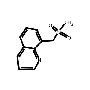 CS(=O)(=O)Cc1cccc2cccnc12